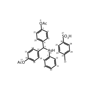 CC(=O)Oc1ccc(C([AsH]c2ccccc2)c2ccc(OC(C)=O)cc2)cc1.Cc1ccc(S(=O)(=O)O)cc1